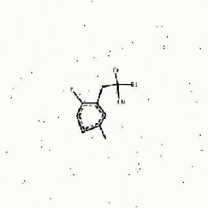 CCC(C#N)(CC)Cc1cc(C)ccc1F